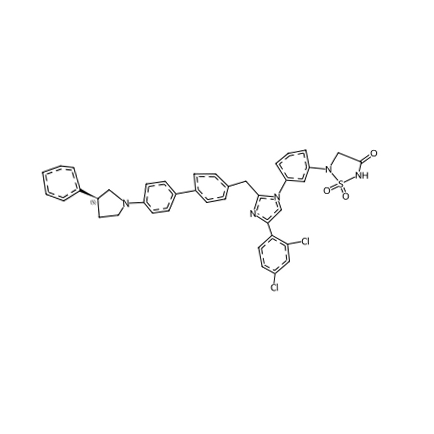 O=C1CN(c2cccc(-n3cc(-c4ccc(Cl)cc4Cl)nc3Cc3ccc(-c4ccc(N5CC[C@@H](c6ccccc6)C5)cc4)cc3)c2)S(=O)(=O)N1